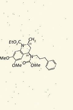 CCOC(=O)N1c2cc(OC)c(OC)cc2[C@H](N(CCCc2ccccc2)C(=O)OC)C[C@@H]1C